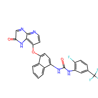 O=C(Nc1cc(C(F)(F)F)ccc1F)Nc1ccc(Oc2ccnc3ncc(=O)[nH]c23)c2ccccc12